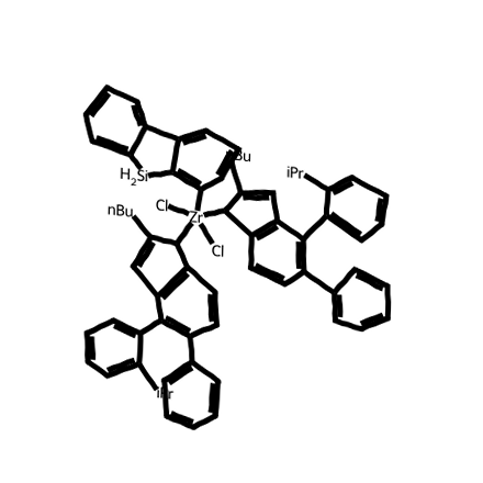 CCCCC1=Cc2c(ccc(-c3ccccc3)c2-c2ccccc2C(C)C)[CH]1[Zr]([Cl])([Cl])([c]1cccc2c1[SiH2]c1ccccc1-2)[CH]1C(CCCC)=Cc2c1ccc(-c1ccccc1)c2-c1ccccc1C(C)C